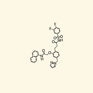 O=C(COc1cc(Cn2cccn2)ccc1CCC(=O)NS(=O)(=O)c1ccc(F)c(F)c1)Nc1cccc2ccccc12